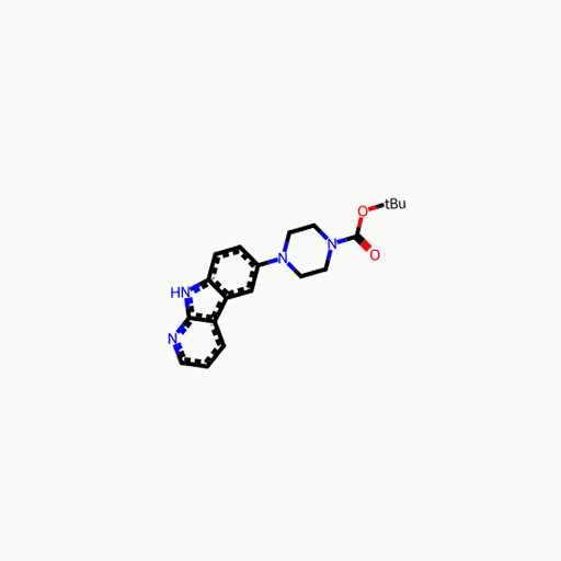 CC(C)(C)OC(=O)N1CCN(c2ccc3[nH]c4ncccc4c3c2)CC1